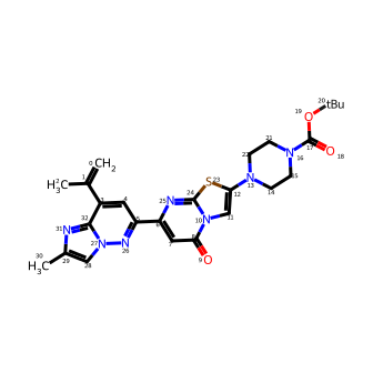 C=C(C)c1cc(-c2cc(=O)n3cc(N4CCN(C(=O)OC(C)(C)C)CC4)sc3n2)nn2cc(C)nc12